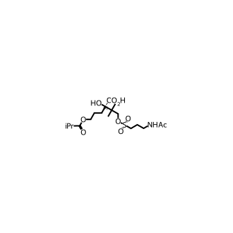 CC(=O)NCCCS(=O)(=O)OCC(C)(C)[C@](O)(CCCOC(=O)C(C)C)C(=O)O